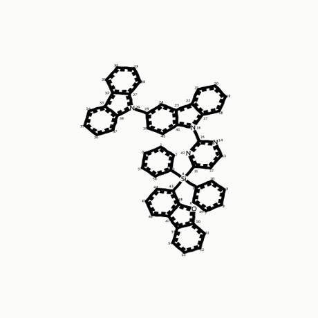 c1ccc([Si](c2ccccc2)(c2ccnc(-n3c4ccccc4c4cc(-n5c6ccccc6c6ccccc65)ccc43)n2)c2cccc3c2oc2ccccc23)cc1